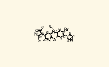 CCN(c1ccc(-n2ccnc2)c(Br)c1)c1cc(-c2c(C)noc2C)cnc1C